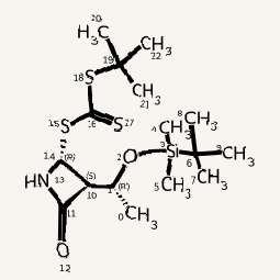 C[C@@H](O[Si](C)(C)C(C)(C)C)[C@H]1C(=O)N[C@@H]1SC(=S)SC(C)(C)C